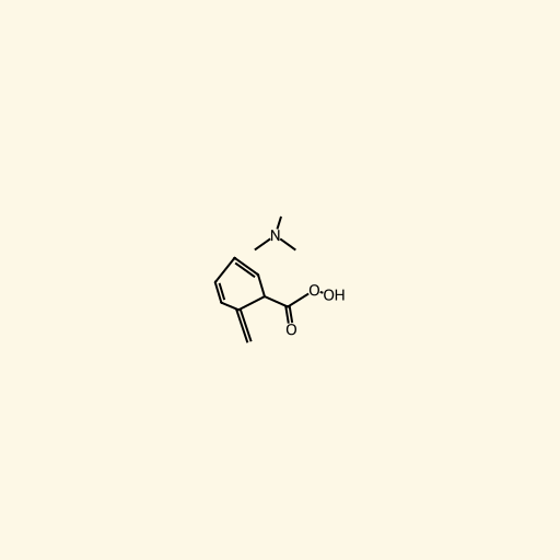 C=C1C=CC=CC1C(=O)OO.CN(C)C